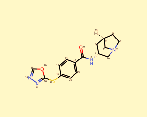 O=C(N[C@@H]1C[C@H]2CCN(C2)C1)c1ccc(Sc2nnco2)cc1